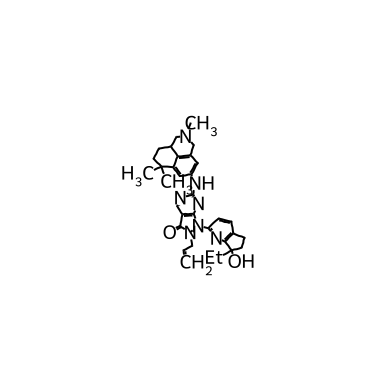 C=CCn1c(=O)c2cnc(Nc3cc4c5c(c3)C(C)(C)CCC5CN(C)C4)nc2n1-c1ccc2c(n1)C(O)(CC)CC2